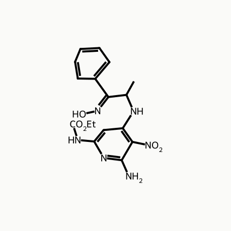 CCOC(=O)Nc1cc(NC(C)/C(=N/O)c2ccccc2)c([N+](=O)[O-])c(N)n1